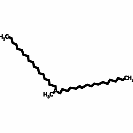 CCCCCCCCCCCCCCCCCCP(C)CCCCCCCCCCCCCCCCCC